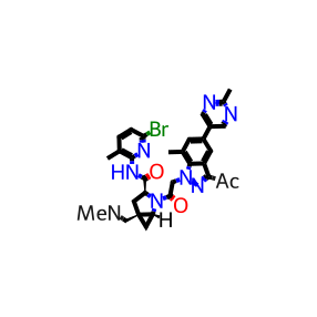 CNC[C@@]12C[C@@H](C(=O)Nc3nc(Br)ccc3C)N(C(=O)Cn3nc(C(C)=O)c4cc(-c5cnc(C)nc5)cc(C)c43)[C@@H]1C2